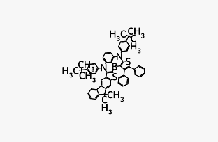 CC(C)(C)c1ccc(N2c3cccc4c3B(c3sc5cc6c(cc5c3N4c3ccc(C(C)(C)C)cc3)-c3ccccc3C6(C)C)c3c2sc(-c2ccccc2)c3-c2ccccc2)cc1